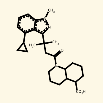 Cn1nc(C(C)(C)CC(=O)N2CCCC3C(C(=O)O)CCCC32)c2c(C3CC3)cccc21